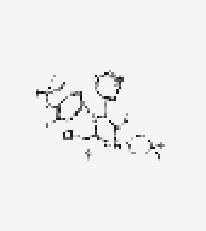 O=C(NC1CCC(F)(F)CC1)C(c1cncnc1)N(C(=O)[C@H](F)Cl)c1ccc(OC(F)(F)F)c(F)c1